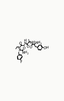 CCN(C(=O)CNC(=O)[C@@H](C)NC(=O)[C@@H](N)Cc1ccc(O)cc1)[C@@H](Cc1ccc(F)cc1)C(N)=O